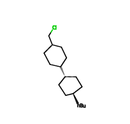 CCCC[C@H]1CC[C@H](C2CCC(CCl)CC2)CC1